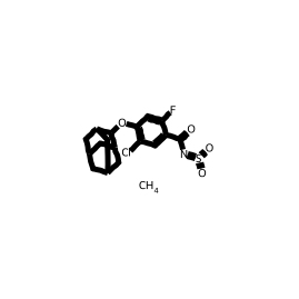 C.O=C(N=S(=O)=O)c1cc(Cl)c(OC2C3CC4CC(C3)CC2C4)cc1F